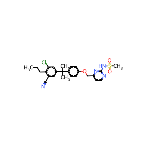 CCCc1c(Cl)cc(C(C)(C)c2ccc(OCc3ccnc(NS(C)(=O)=O)n3)cc2)cc1C#N